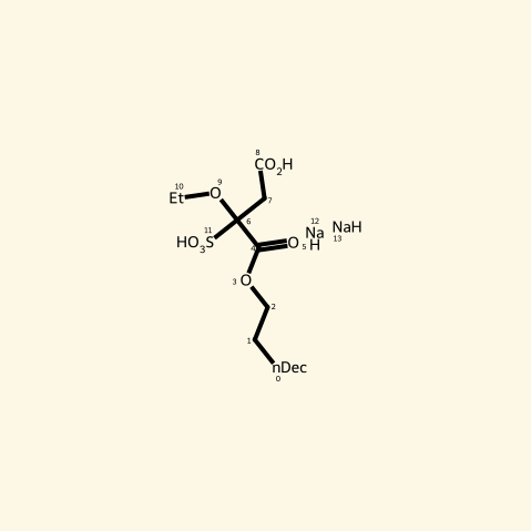 CCCCCCCCCCCCOC(=O)C(CC(=O)O)(OCC)S(=O)(=O)O.[NaH].[NaH]